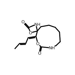 CC=CC=C1OC(=O)NCCCCCCC12NC(=O)O2